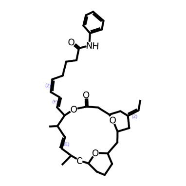 C/C=C1\CC2CC(=O)OC(/C=C/C=C\CCCC(=O)Nc3ccccc3)C(C)/C=C/C(C)CC3CCCC(CC(C1)O2)O3